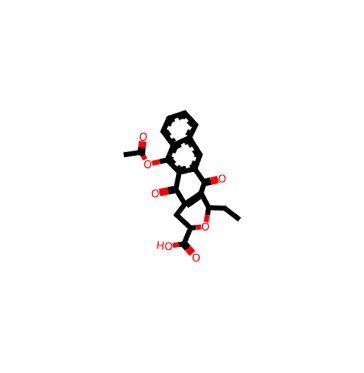 CCC1OC(C(=O)O)CC2=C1C(=O)c1cc3ccccc3c(OC(C)=O)c1C2=O